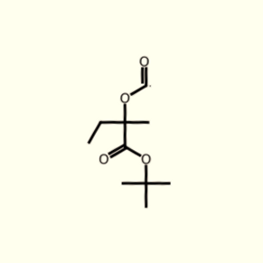 CCC(C)(O[C]=O)C(=O)OC(C)(C)C